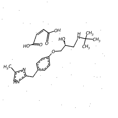 Cc1c[nH]c(Cc2ccc(OC[C@@H](O)CNC(C)(C)C)cc2)n1.O=C(O)/C=C\C(=O)O